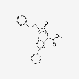 COC(=O)C1c2nn(-c3ccccc3)cc2C2CN1C(=O)N2OCc1ccccc1